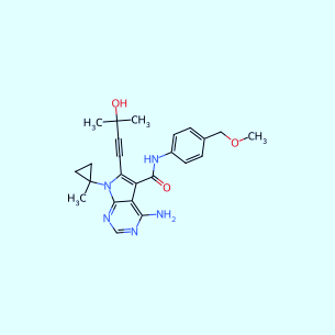 COCc1ccc(NC(=O)c2c(C#CC(C)(C)O)n(C3(C)CC3)c3ncnc(N)c23)cc1